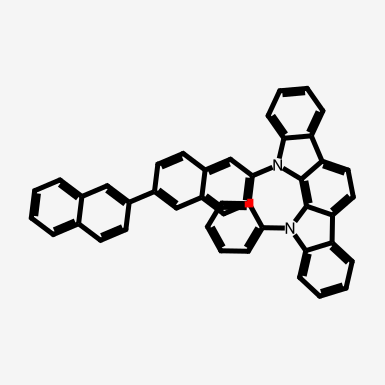 c1ccc(-n2c3ccccc3c3ccc4c5ccccc5n(-c5ccc6cc(-c7ccc8ccccc8c7)ccc6c5)c4c32)cc1